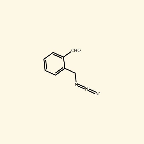 [N-]=[N+]=NCc1ccccc1C=O